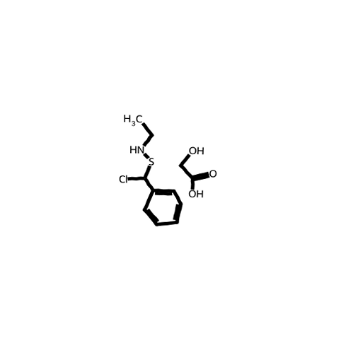 CCNSC(Cl)c1ccccc1.O=C(O)CO